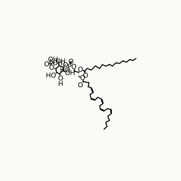 CCCCC/C=C\C/C=C\C/C=C\C/C=C\C/C=C\CCC(=O)OC[C@H](COP(=O)(O)O[C@H]1C(O)C(O)C(O)[C@@H](OP(=O)(O)O)C1O)OC(=O)CCCCCCCCCCCCCCC